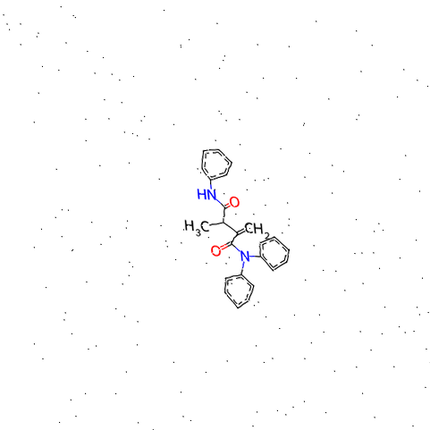 C=C(C(=O)N(c1ccccc1)c1ccccc1)C(C)C(=O)Nc1ccccc1